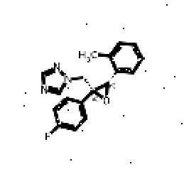 Cc1ccccc1[C@@H]1O[C@@]1(Cn1cncn1)c1ccc(F)cc1